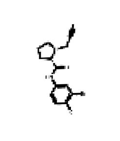 N#CCN1CCC[C@@H]1C(=O)Nc1ccc(Cl)c(Br)c1